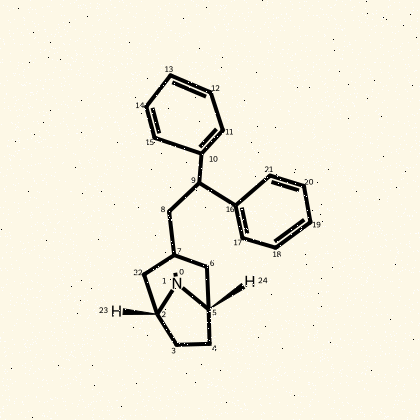 CN1[C@@H]2CC[C@H]1CC(CC(c1ccccc1)c1ccccc1)C2